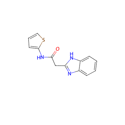 O=C(Cc1nc2ccccc2[nH]1)Nc1cccs1